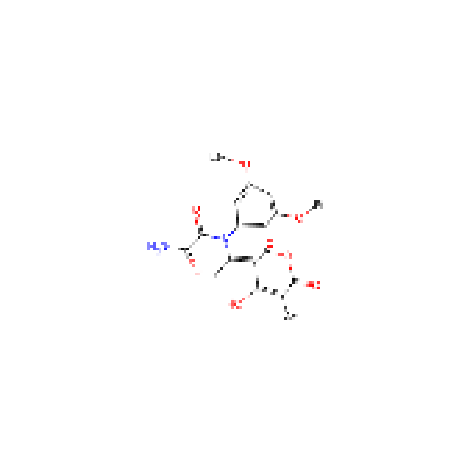 CCOc1cc(OCC)cc(N(C(=O)C(N)=O)C(C)=C2C(=O)OC(=O)C(C(C)=O)=C2O)c1